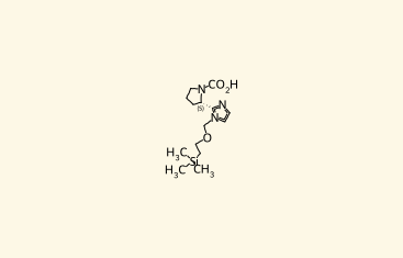 C[Si](C)(C)CCOCn1ccnc1[C@@H]1CCCN1C(=O)O